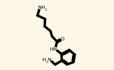 NCCCCCC(=O)Nc1c[c]ccc1CN